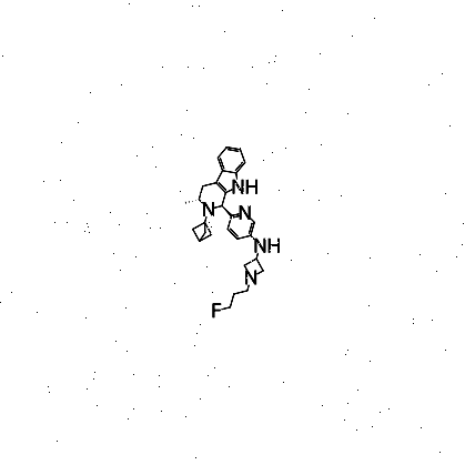 C[C@@H]1Cc2c([nH]c3ccccc23)[C@@H](c2ccc(NC3CN(CCCF)C3)cn2)N1C12CC(C1)C2